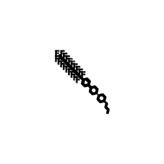 CCCC[C@H]1CC[C@H](C2CCC(c3ccc(C(F)(F)C(F)(F)C(F)(F)C(F)(F)C(F)(F)C(F)(F)C(F)(F)C(F)(F)C(F)(F)F)cc3)CC2)CC1